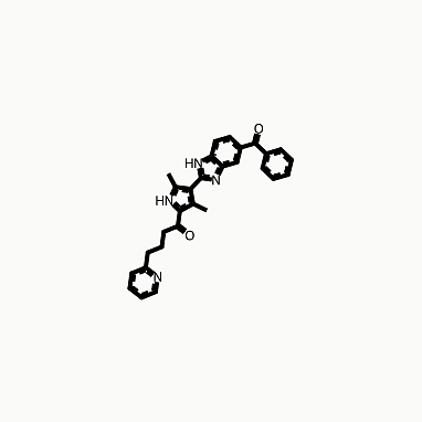 Cc1[nH]c(C(=O)CCCc2ccccn2)c(C)c1-c1nc2cc(C(=O)c3ccccc3)ccc2[nH]1